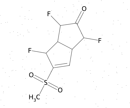 CS(=O)(=O)C1=CC2C(F)C(=O)C(F)C2C1F